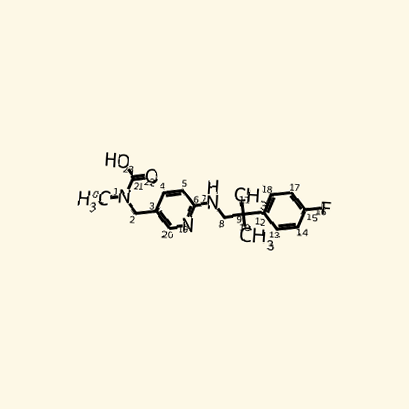 CN(Cc1ccc(NCC(C)(C)c2ccc(F)cc2)nc1)C(=O)O